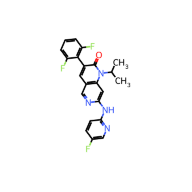 CC(C)n1c(=O)c(-c2c(F)cccc2F)cc2cnc(Nc3ccc(F)cn3)cc21